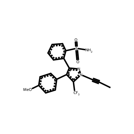 CC#Cn1nc(-c2ccccc2S(N)(=O)=O)c(-c2ccc(OC)cc2)c1C(F)(F)F